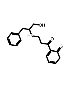 O=C(CCNC(CO)Cc1ccccc1)C1=CC=CCC1=S